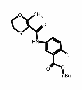 CCCCOC(=O)c1cc(NC(=O)C2=C(C)OCCS2)ccc1Cl